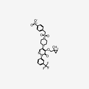 CC1(COc2c(N3CCN(S(=O)(=O)Cc4ccc([N+](=O)[O-])cc4)CC3)cnn(-c3cccc(C(F)(F)F)c3)c2=O)CC1